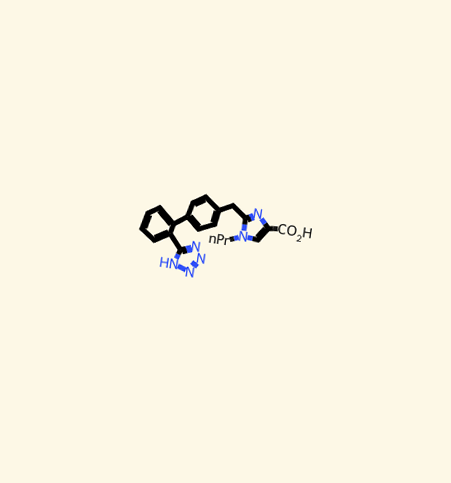 CCCn1cc(C(=O)O)nc1Cc1ccc(-c2ccccc2-c2nnn[nH]2)cc1